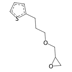 c1csc(CCCOCC2CO2)c1